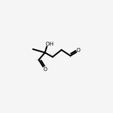 CC(O)([C]=O)CC[C]=O